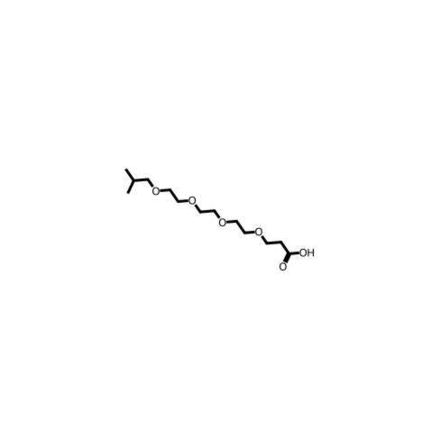 CC(C)COCCOCCOCCOCCC(=O)O